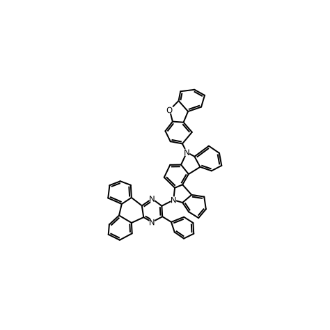 c1ccc(-c2nc3c4ccccc4c4ccccc4c3nc2-n2c3ccccc3c3c4c5ccccc5n(-c5ccc6oc7ccccc7c6c5)c4ccc32)cc1